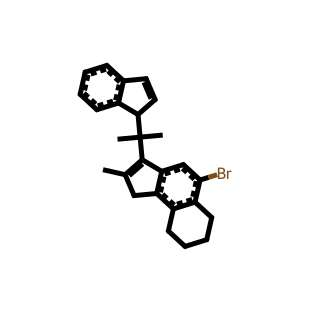 CC1=C(C(C)(C)C2C=Cc3ccccc32)c2cc(Br)c3c(c2C1)CCCC3